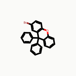 Brc1ccc2c(c1)C(c1ccccc1)(c1ccccc1)c1ccccc1O2